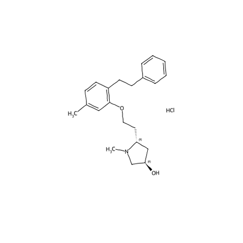 Cc1ccc(CCc2ccccc2)c(OCC[C@@H]2C[C@@H](O)CN2C)c1.Cl